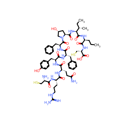 CCC[C@H](NC(=O)[C@@H](NC(=O)[C@@H]1C[C@@H](O)CN1C(=O)[C@H](Cc1ccccc1)NC(=O)[C@H](Cc1ccccc1)NC(=O)[C@H](Cc1ccc(O)cc1)NC(=O)[C@H](CCC(N)=O)NC(=O)[C@H](CCCNC(=N)N)NC(=O)[C@@H](N)CS)[C@@H](C)CC)C(=O)N[C@@H](CS)C(=O)O